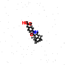 Cc1cc2c(c(C)c1C(=O)Nc1ccc(CC(=O)O)cc1)C(C)(C)CCC2(C)C